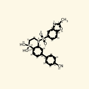 Cc1nc2cc(S(=O)(=O)N3CCS(O)(O)c4ccc(-c5ccc(C#N)cc5)cc43)ccc2o1